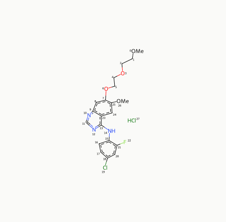 COCCOCCOc1cc2ncnc(Nc3ccc(Cl)cc3F)c2cc1OC.Cl